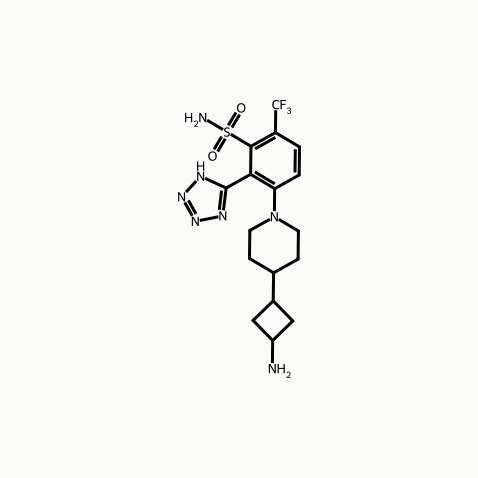 NC1CC(C2CCN(c3ccc(C(F)(F)F)c(S(N)(=O)=O)c3-c3nnn[nH]3)CC2)C1